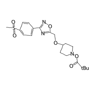 CC(C)(C)C(=O)ON1CCC(OCc2nc(-c3ccc(S(C)(=O)=O)cc3)no2)CC1